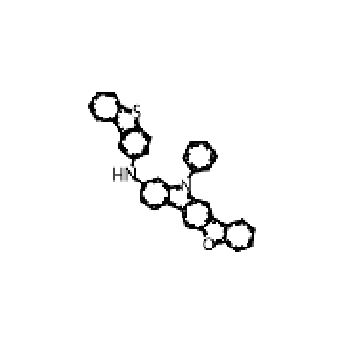 c1ccc(-n2c3cc(Nc4ccc5sc6ccccc6c5c4)ccc3c3cc4oc5ccccc5c4cc32)cc1